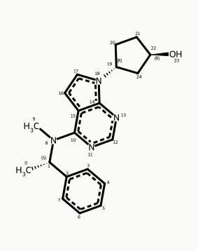 C[C@@H](c1ccccc1)N(C)c1ncnc2c1ccn2[C@@H]1CC[C@@H](O)C1